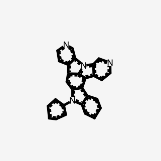 c1ccc(-n2c3ccccc3c3c4c5ccncc5n5c6cnccc6c(cc32)c45)cc1